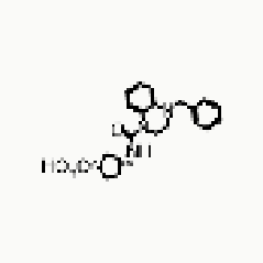 O=C(O)N1CC[C@@H](NC(=O)N2CCN(Cc3ccccc3)c3ccccc32)C1